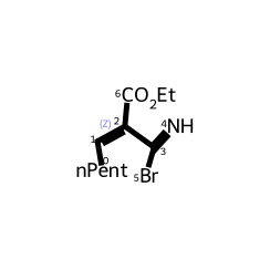 CCCCC/C=C(\C(=N)Br)C(=O)OCC